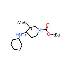 CO[C@H]1CN(C(=O)OC(C)(C)C)CC[C@H]1NC1CCCCC1